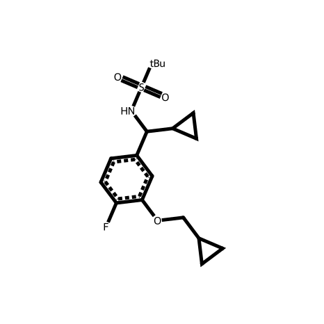 CC(C)(C)S(=O)(=O)NC(c1ccc(F)c(OCC2CC2)c1)C1CC1